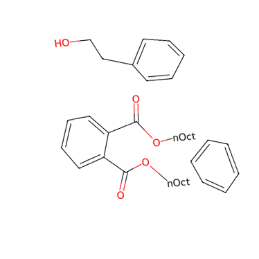 CCCCCCCCOC(=O)c1ccccc1C(=O)OCCCCCCCC.OCCc1ccccc1.c1ccccc1